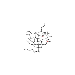 CCCCCC(C)C(CCCCC)(CCCCC)C(CCCCC)(CCCCC)C(CCCCC)(CCCCC)C(CCCCC)(CCCCC)C(F)(CCCCC)C(=O)O